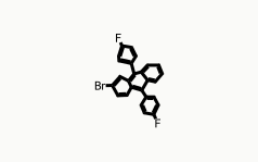 Fc1ccc(-c2c3ccccc3c(-c3ccc(F)cc3)c3cc(Br)ccc23)cc1